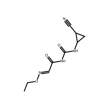 CCON=CC(=O)NC(=O)NC1CC1C#N